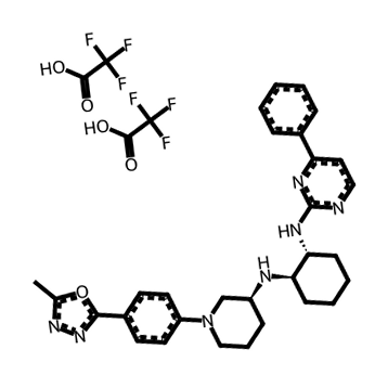 Cc1nnc(-c2ccc(N3CCC[C@H](N[C@@H]4CCCC[C@H]4Nc4nccc(-c5ccccc5)n4)C3)cc2)o1.O=C(O)C(F)(F)F.O=C(O)C(F)(F)F